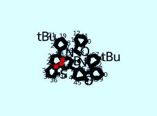 CC(C)(C)c1ccc(N2B3c4oc5ccccc5c4N(c4ccc(C(C)(C)C)cc4-c4ccccc4)c4cc5c(sc6ccccc65)c(c43)-c3ccc4oc5ccccc5c4c32)cc1